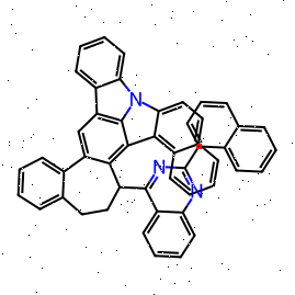 c1ccc2c(c1)CCC(c1nc(-c3cccc4ccccc34)nc3ccccc13)c1c-2cc2c3ccccc3n3c4ccc5ccccc5c4c1c23